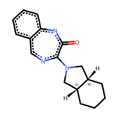 O=c1nc2ccccc2cnc1N1C[C@H]2CCCC[C@H]2C1